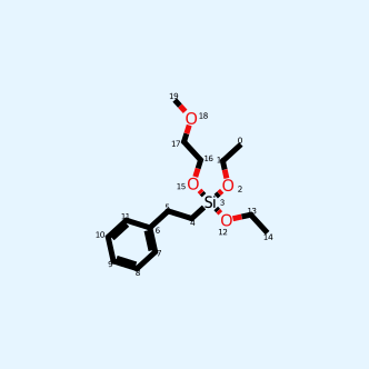 CCO[Si](CCc1ccccc1)(OCC)OCCOC